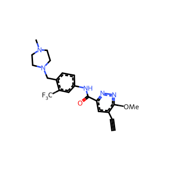 C#Cc1cc(C(=O)Nc2ccc(CN3CCN(C)CC3)c(C(F)(F)F)c2)nnc1OC